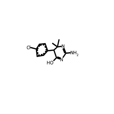 CC1(C)N=C(N)N=C(O)C1c1ccc(Cl)cc1